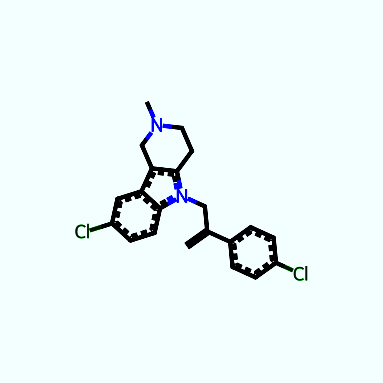 C=C(Cn1c2c(c3cc(Cl)ccc31)CN(C)CC2)c1ccc(Cl)cc1